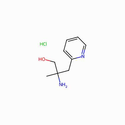 CC(N)(CO)Cc1ccccn1.Cl